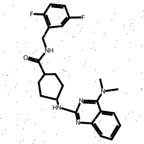 CN(C)c1nc(NC2CCC(C(=O)NCc3cc(F)ccc3F)CC2)nc2ccccc12